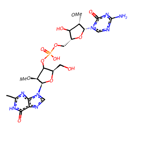 CO[C@H]1C(O)[C@@H](COP(=O)(O)OC2[C@@H](CO)O[C@@H](n3cnc4c(=O)[nH]c(C)nc43)[C@H]2OC)O[C@H]1n1cnc(N)nc1=O